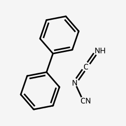 N#CN=C=N.c1ccc(-c2ccccc2)cc1